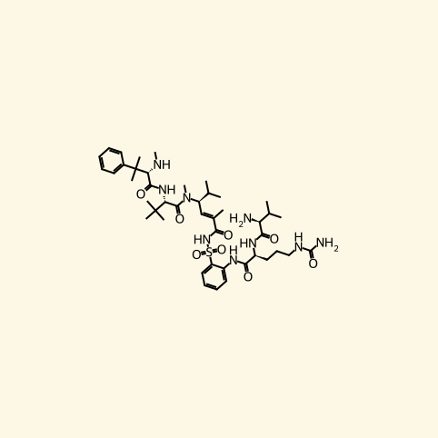 CN[C@H](C(=O)N[C@H](C(=O)N(C)[C@H](C=C(C)C(=O)NS(=O)(=O)c1ccccc1NC(=O)[C@H](CCCNC(N)=O)NC(=O)[C@@H](N)C(C)C)C(C)C)C(C)(C)C)C(C)(C)c1ccccc1